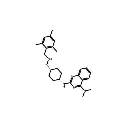 Cc1cc(C)c(CNC[C@H]2CC[C@@H](Nc3nc(N(C)C)c4ccccc4n3)CC2)c(C)c1